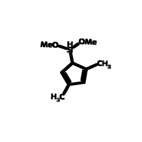 CO[SiH](OC)C1C=C(C)C=C1C